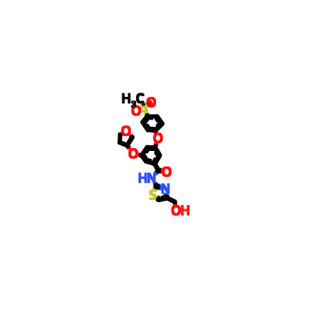 CS(=O)(=O)c1ccc(Oc2cc(OC3CCOC3)cc(C(=O)Nc3nc(CO)cs3)c2)cc1